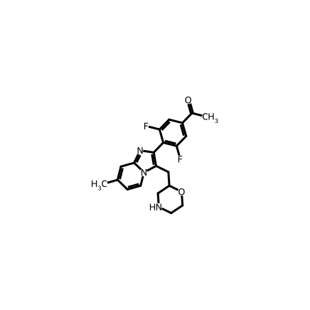 CC(=O)c1cc(F)c(-c2nc3cc(C)ccn3c2CC2CNCCO2)c(F)c1